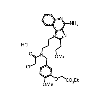 CCOC(=O)COc1cc(CN(CCCn2c(CCOC)nc3c(N)nc4ccccc4c32)C(=O)CCl)ccc1OC.Cl